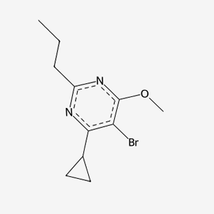 CCCc1nc(OC)c(Br)c(C2CC2)n1